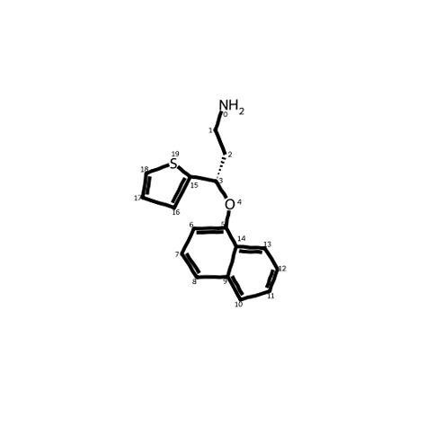 NCC[C@H](Oc1cccc2ccccc12)c1cccs1